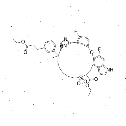 CCOC(=O)CCc1cccc(C2(C)CCCCCS(=O)(=O)C(C(=O)OCC)Cc3c(c(F)cc4[nH]ccc34)Oc3ccc(F)c(c3)-c3ncc2[nH]3)c1